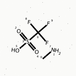 CN.O=S(=O)(O)C(F)(F)F